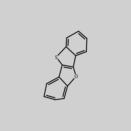 c1ccc2c(c1)oc1c3ccccc3sc21